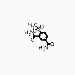 CS(=O)(=O)c1ccc(C(N)=O)cc1C(N)=O